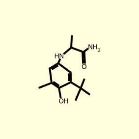 Cc1cc(NC(C)C(N)=O)cc(C(C)(C)C)c1O